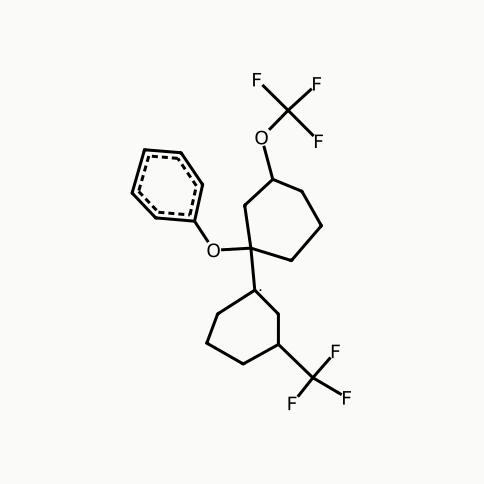 FC(F)(F)OC1CCCC(Oc2ccccc2)([C]2CCCC(C(F)(F)F)C2)C1